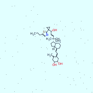 C=C1CC(O)[C@H](O)C/C1=C/C=C1\CCC[C@]2(C)[C@@H](C(C)(C)/C=C/[C@H](O)C3(c4ncc(CCC)s4)CC3)CC[C@@H]12